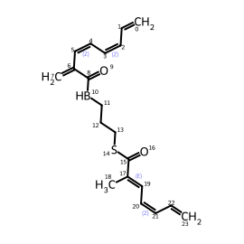 C=C/C=C\C=C/C(=C)C(=O)BCCCSC(=O)/C(C)=C/C=C\C=C